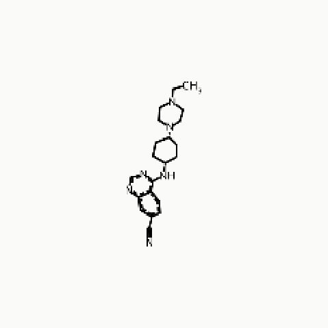 CCN1CCN([C@H]2CC[C@H](Nc3ncnc4cc(C#N)ccc34)CC2)CC1